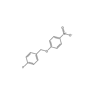 O=[N+]([O-])c1ccc(OCc2ccc(F)cc2)cc1